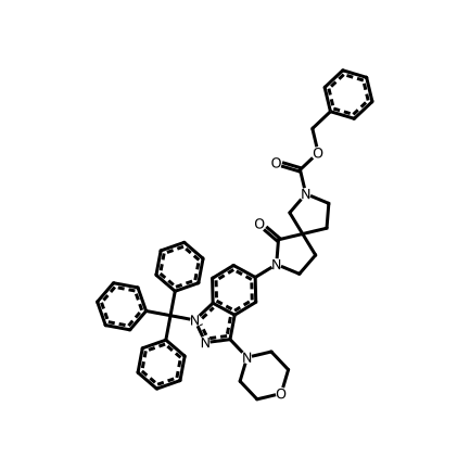 O=C(OCc1ccccc1)N1CCC2(CCN(c3ccc4c(c3)c(N3CCOCC3)nn4C(c3ccccc3)(c3ccccc3)c3ccccc3)C2=O)C1